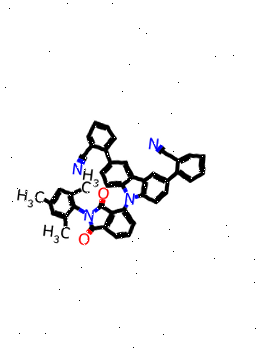 Cc1cc(C)c(N2C(=O)c3cccc(-n4c5ccc(-c6ccccc6C#N)cc5c5cc(-c6ccccc6C#N)ccc54)c3C2=O)c(C)c1